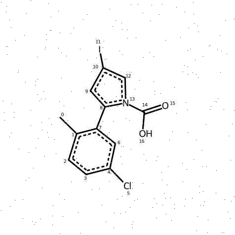 Cc1ccc(Cl)cc1-c1cc(I)cn1C(=O)O